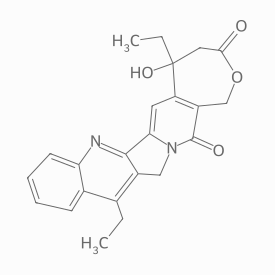 CCc1c2c(nc3ccccc13)-c1cc3c(c(=O)n1C2)COC(=O)CC3(O)CC